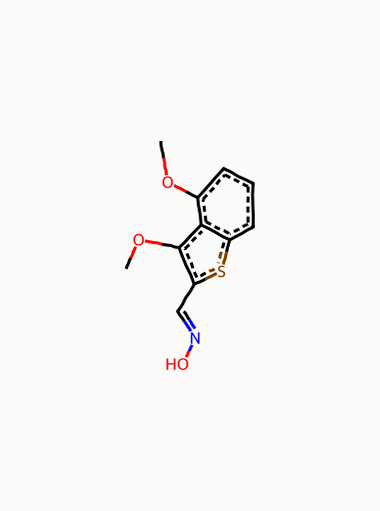 COc1cccc2sc(/C=N/O)c(OC)c12